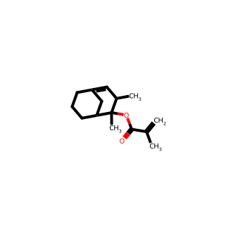 C=C(C)C(=O)OC1(C)C(C)C=C2CCCC1C2